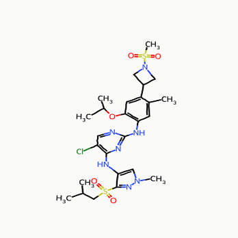 Cc1cc(Nc2ncc(Cl)c(Nc3cn(C)nc3S(=O)(=O)CC(C)C)n2)c(OC(C)C)cc1C1CN(S(C)(=O)=O)C1